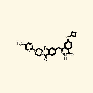 O=C(c1ccc(Cc2n[nH]c(=O)c3ccc(OC4CCC4)cc23)cc1F)N1CCN(c2ncc(C(F)(F)F)cn2)CC1